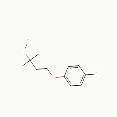 CCOC(C)(C)CCOc1ccc(CC)cc1